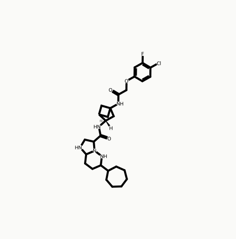 O=C(COc1ccc(Cl)c(F)c1)NC12CC(C1)[C@@H](NC(=O)C1CNC3CCC(C4CCCCCC4)NN31)C2